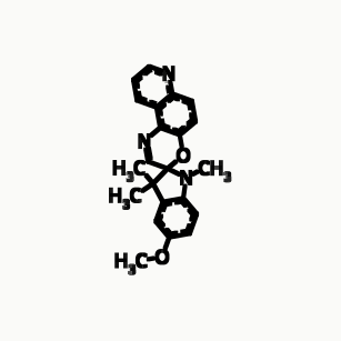 COc1ccc2c(c1)C(C)(C)C1(C=Nc3c(ccc4ncccc34)O1)N2C